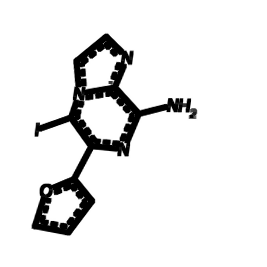 Nc1nc(-c2ccco2)c(I)n2ccnc12